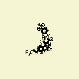 CCn1nc(C(=O)NC[C@H]2CC[C@H](S(C)(=O)=O)CC2)c(Cl)c1-c1ccc(CCC(F)(F)F)cc1F